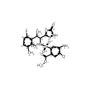 COC(=O)c1cc(Cl)c(N)cc1S(=O)(=O)NC(c1n[nH]c(=O)o1)C(C)c1c(F)ccc(C)c1C